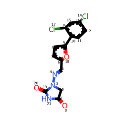 O=C1CN(N=Cc2ccc(-c3ccc(Cl)cc3Cl)o2)C(=O)N1